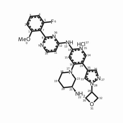 COc1cccc(F)c1-c1nccc(Nc2cc(N3CCC[C@H](N)C3)c(-c3cnn(C4COC4)c3)cn2)n1.Cl